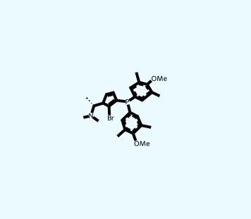 COc1c(C)cc(P(C2=C(Br)C([C@@H](C)N(C)C)C=C2)c2cc(C)c(OC)c(C)c2)cc1C